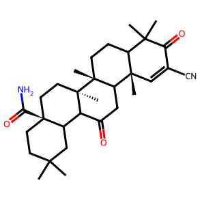 CC1(C)CC[C@]2(C(N)=O)CC[C@]3(C)C(C(=O)CC4[C@@]5(C)C=C(C#N)C(=O)C(C)(C)C5CC[C@]43C)C2C1